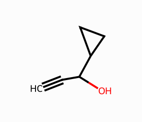 C#CC(O)C1CC1